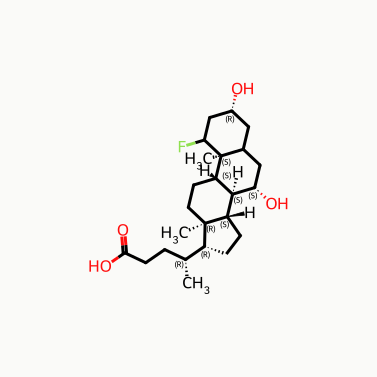 C[C@H](CCC(=O)O)[C@H]1CC[C@H]2[C@@H]3[C@@H](O)CC4C[C@@H](O)CC(F)[C@]4(C)[C@H]3CC[C@]12C